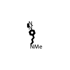 CNCCCCc1ccc(-n2ccnc2)cc1